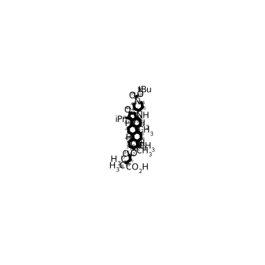 CC(C)C1=C2[C@H]3CC[C@@H]4[C@@]5(C)CC[C@H](OC(=O)CC(C)(C)C(=O)O)C(C)(C)[C@@H]5CC[C@@]4(C)[C@]3(C)CC[C@@]2(NC2CCN(C(=O)OC(C)(C)C)CC2)CC1=O